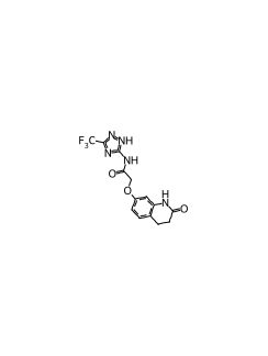 O=C(COc1ccc2c(c1)NC(=O)CC2)Nc1nc(C(F)(F)F)n[nH]1